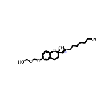 CC1(/C=C/CCCCCCC#N)CCc2cc(OCOCO)ccc2O1